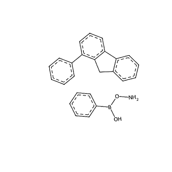 NOB(O)c1ccccc1.c1ccc(-c2cccc3c2Cc2ccccc2-3)cc1